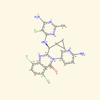 Cc1nc(N)c(Cl)c(N[C@H](c2nc3c(F)ccc(Cl)c3c(=O)n2-c2ccc(N)nc2)C2CC2)n1